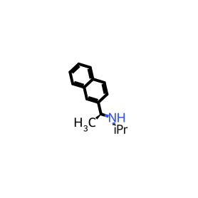 CC(C)N[C@@H](C)c1ccc2ccccc2c1